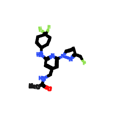 COC(=O)NCc1cc(NC2CCC(F)(F)CC2)nc(-n2ccc(CF)n2)c1